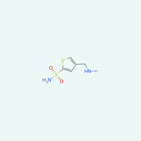 CNCc1csc(S(N)(=O)=O)c1